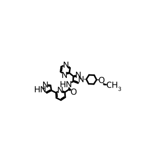 CCO[C@H]1CC[C@H](n2cc(NC(=O)c3cccc(-c4cn[nH]c4)n3)c(-c3cnccn3)n2)CC1